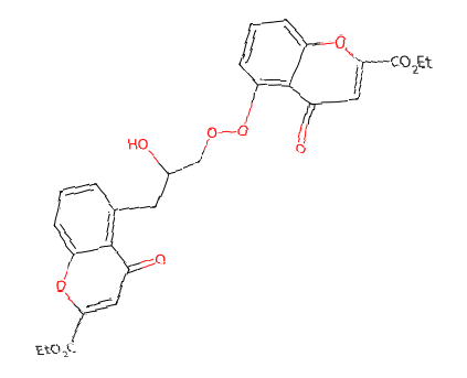 CCOC(=O)c1cc(=O)c2c(CC(O)COOc3cccc4oc(C(=O)OCC)cc(=O)c34)cccc2o1